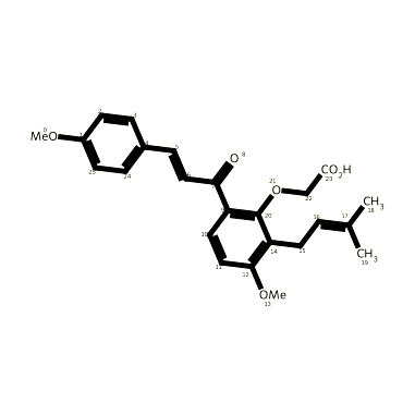 COc1ccc(C=CC(=O)c2ccc(OC)c(CC=C(C)C)c2OCC(=O)O)cc1